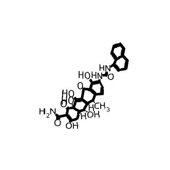 C[C@H]1c2ccc(NC(=O)Nc3cccc4ccccc34)c(O)c2C(=O)C2=C(O)[C@]3(O)C(=O)C(C(N)=O)=C(O)C[C@@H]3[C@@H](O)[C@@H]21